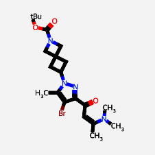 CC(=CC(=O)c1nn(C2CC3(C2)CN(C(=O)OC(C)(C)C)C3)c(C)c1Br)N(C)C